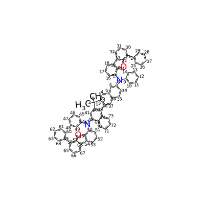 CC1(C)c2cc3cc(N(c4ccccc4)c4cccc5c4oc4c(-c6ccccc6)cccc45)ccc3cc2-c2c1cc(N(c1ccccc1)c1cccc3c1oc1c(-c4ccccc4)cccc13)c1ccccc21